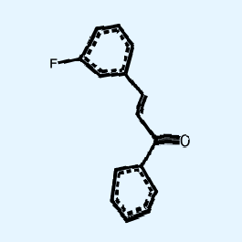 O=C(C=Cc1cccc(F)c1)c1ccccc1